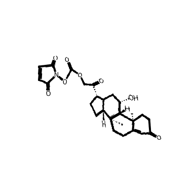 C[C@@]12CCC3=CC(=O)CC[C@]3(C)[C@H]1[C@@H](O)CC1[C@@H](C(=O)COC(=O)ON3C(=O)C=CC3=O)CC[C@H]12